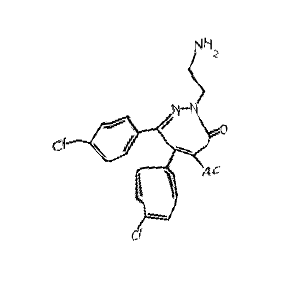 CC(=O)c1c(-c2ccc(Cl)cc2)c(-c2ccc(Cl)cc2)nn(CCN)c1=O